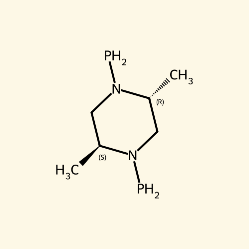 C[C@@H]1CN(P)[C@@H](C)CN1P